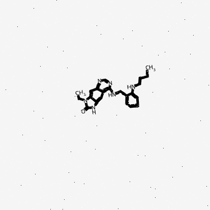 CCCCNc1ccccc1CNc1ncnc2cc3c(cc12)[nH]c(=O)n3CC